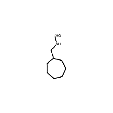 O=CNCC1CCCCCC1